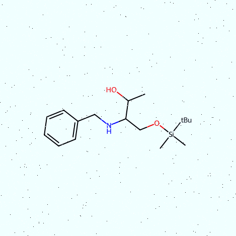 CC(O)C(CO[Si](C)(C)C(C)(C)C)NCc1ccccc1